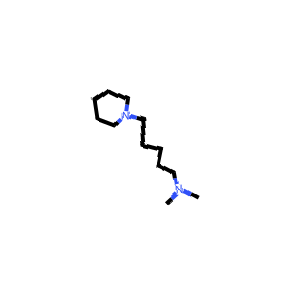 CN(C)CCCCCN1CC[CH]CC1